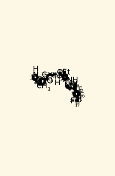 CCc1cc(Nc2nccn3c(-c4ccc(OC(F)F)c(F)c4F)cnc23)ccc1C(=O)NCCCC(C)C(=O)C1CC[N+](C)(CC2CCNC2)CC1